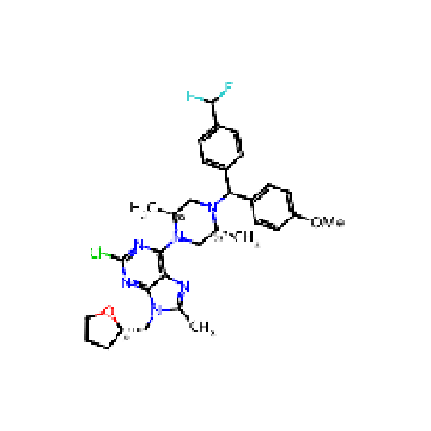 COc1ccc(C(c2ccc(C(F)F)cc2)N2C[C@H](C)N(c3nc(Cl)nc4c3nc(C)n4C[C@@H]3CCCO3)C[C@H]2C)cc1